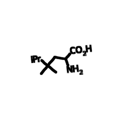 CC(C)C(C)(C)CC(N)C(=O)O